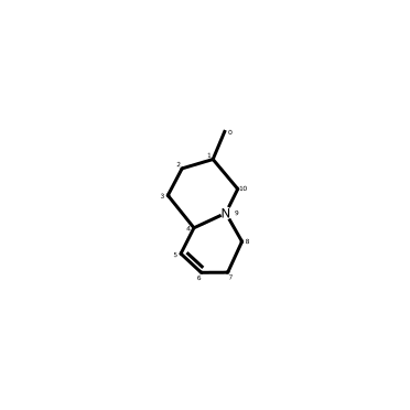 CC1CCC2C=CCCN2C1